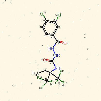 CCC(NC(=O)NNC(=O)c1ccc(Cl)c(Cl)c1)(C(F)(F)F)C(F)(F)F